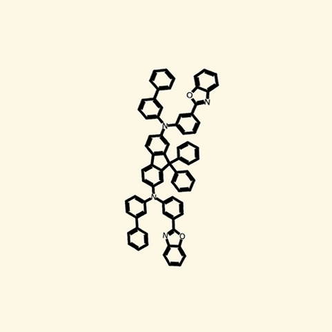 c1ccc(-c2cccc(N(c3cccc(-c4nc5ccccc5o4)c3)c3ccc4c(c3)C(c3ccccc3)(c3ccccc3)c3cc(N(c5cccc(-c6ccccc6)c5)c5cccc(-c6nc7ccccc7o6)c5)ccc3-4)c2)cc1